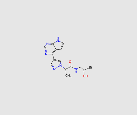 CCC(O)CNC(=O)C(C)n1cc(-c2ncnc3[nH]ccc23)cn1